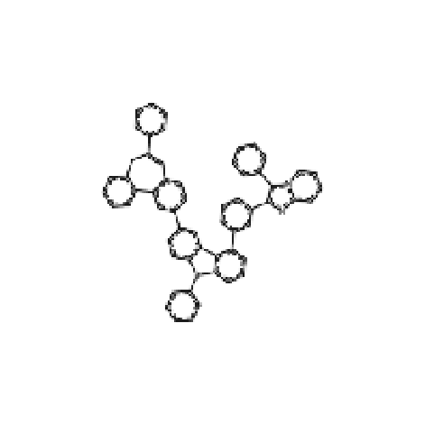 C1=C(c2ccccc2)Cc2ccccc2-c2cc(-c3ccc4c(c3)-c3c(cccc3-c3cccc(-c5nc6ccccn6c5-c5ccccc5)c3)B4c3ccccc3)ccc21